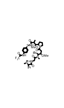 CCC(C)C(C(CC(=O)N1CCCC1C(OC)C(C)C(=O)NSc1ccc(NC(=O)C(F)(F)F)cc1)OC)N(C)C(=O)CNC(=O)C(C(C)C)N(C)C